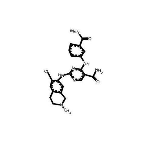 CNC(=O)c1cccc(Nc2nc(Nc3cc4c(cc3Cl)CCN(C)C4)ncc2C(N)=O)c1